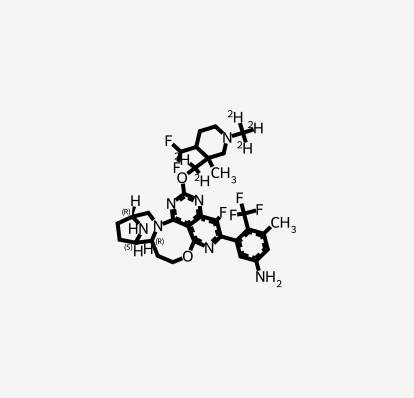 [2H]C([2H])([2H])N1CCC(C(F)F)C(C)(C([2H])([2H])Oc2nc3c4c(nc(-c5cc(N)cc(C)c5C(F)(F)F)c(F)c4n2)OCC[C@@H]2[C@@H]4CC[C@H](CN32)N4)C1